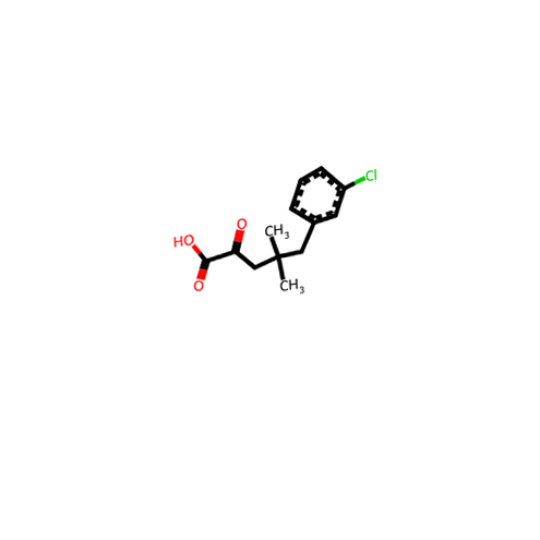 CC(C)(CC(=O)C(=O)O)Cc1cccc(Cl)c1